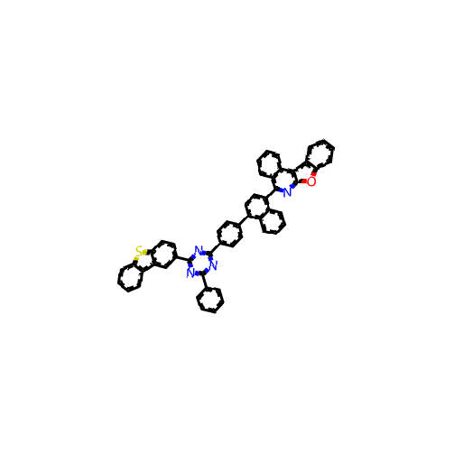 c1ccc(-c2nc(-c3ccc(-c4ccc(-c5nc6oc7ccccc7c6c6ccccc56)c5ccccc45)cc3)nc(-c3ccc4sc5ccccc5c4c3)n2)cc1